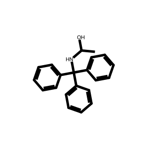 CC(O)NC(c1ccccc1)(c1ccccc1)c1ccccc1